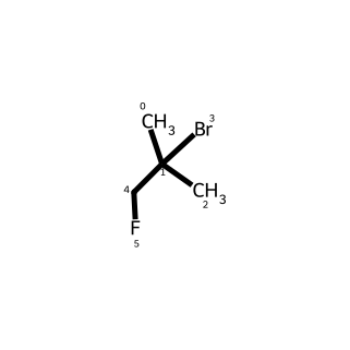 CC(C)(Br)CF